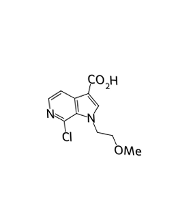 COCCn1cc(C(=O)O)c2ccnc(Cl)c21